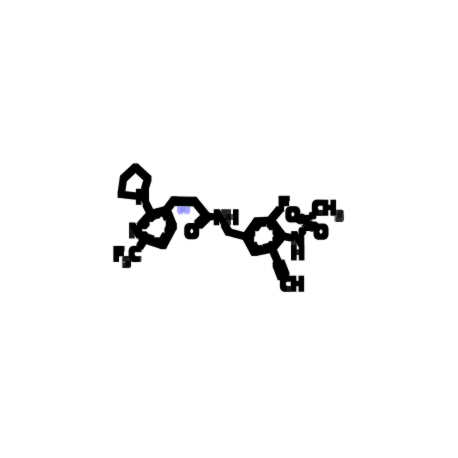 C#Cc1cc(CNC(=O)/C=C\c2ccc(C(F)(F)F)nc2N2CCCC2)cc(F)c1NS(C)(=O)=O